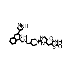 O=C1NC(=O)/C(=C\c2ccnc(N3CCC(CNCc4nc(-c5cn[nH]c5)cc5ccccc45)CC3)n2)S1